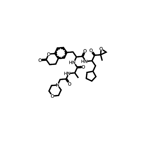 CC(NC(=O)CN1CCOCC1)C(=O)NC(Cc1ccc2c(c1)CCC(=O)O2)C(=O)NC(CC1CCCC1)C(=O)C1(C)CO1